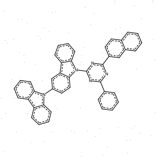 c1ccc(-c2nc(-c3ccc4ccccc4c3)nc(-n3c4ccccc4c4cc(-n5c6ccccc6c6ccccc65)ccc43)n2)cc1